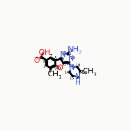 Cc1cc(C(=O)O)cc2c1oc1c(N3CCN[C@@H](C)C3)nc(N)nc12